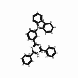 C1=Cc2c(c3ccccc3n2-c2cccc(C3=NC(c4ccccc4)NC(c4ccccc4)=N3)c2)CC1